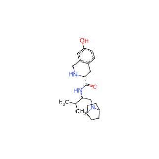 CC(C)C(CN1C2CCC1CC2)NC(=O)[C@H]1Cc2ccc(O)cc2CN1